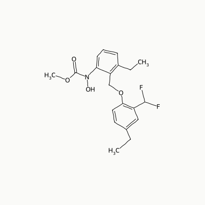 CCc1ccc(OCc2c(CC)cccc2N(O)C(=O)OC)c(C(F)F)c1